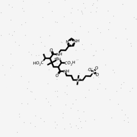 CC(C(=O)O)C(C(=O)NCCc1c[nH]cn1)C(C)(C)CC(C(=O)NCCC[N+](C)(C)CCCS(=O)(=O)[O-])C(C(=O)O)C(C)(C)C